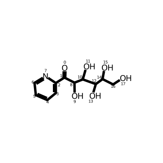 O=C(c1ccccn1)C(O)C(O)C(O)C(O)CO